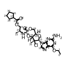 CCOc1nc(N)nc2c1ncn2[C@@H]1O[C@@H]2COP(=O)(N[C@@H](C)COC(=O)C3CCCC3)O[C@H]2[C@@]1(C)Cl